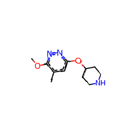 COc1nnc(OC2CCNCC2)cc1C